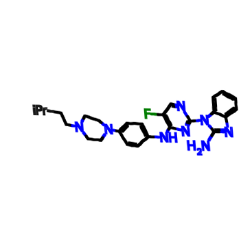 CC(C)CCN1CCN(c2ccc(Nc3nc(-n4c(N)nc5ccccc54)ncc3F)cc2)CC1